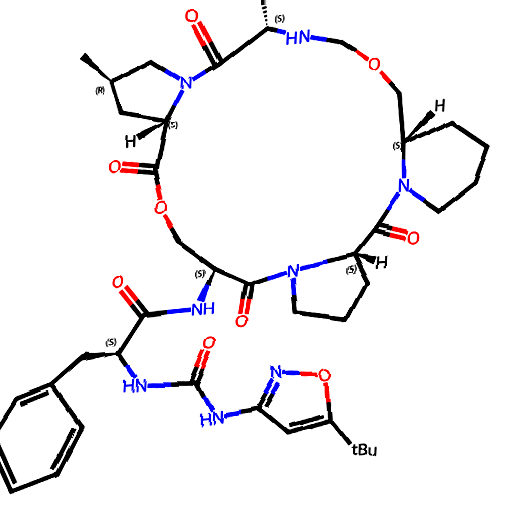 C[C@@H]1C[C@H]2C(=O)OC[C@H](NC(=O)[C@H](Cc3ccccc3)NC(=O)Nc3cc(C(C)(C)C)on3)C(=O)N3CCC[C@H]3C(=O)N3CCCC[C@H]3COCN[C@@H](C)C(=O)N2C1